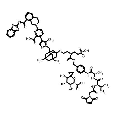 Cc1c(-c2ccc(N3CCc4cccc(C(=O)Nc5nc6ccccc6s5)c4C3)nc2C(=O)O)cnn1CC12CC3(C)CC(C)(C1)CC(OCCN(CCS(=O)(=O)O)C(=O)OCc1ccc(NC(=O)[C@H](C)NC(=O)[C@@H](NC(=O)CN4C(=O)C=CC4=O)C(C)C)cc1[C@H]1C[C@]14O[C@H](C(=O)O)[C@@H](O)[C@H](O)[C@H]4O)(C3)C2